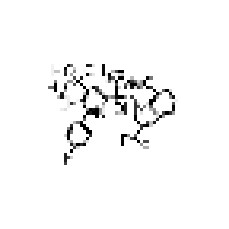 COc1cccc2c1N(CC(O)(c1cc(C(C)(C)O)c(Cl)c(-c3ccc(F)cc3)n1)C1CC1)CC(C(F)F)=C2